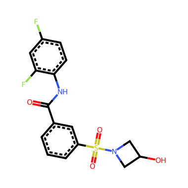 O=C(Nc1ccc(F)cc1F)c1cccc(S(=O)(=O)N2CC(O)C2)c1